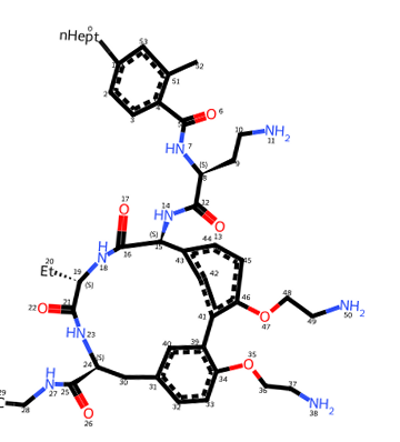 CCCCCCCc1ccc(C(=O)N[C@@H](CCN)C(=O)N[C@@H]2C(=O)N[C@@H](CC)C(=O)N[C@H](C(=O)NCC#N)Cc3ccc(OCCN)c(c3)-c3cc2ccc3OCCN)c(C)c1